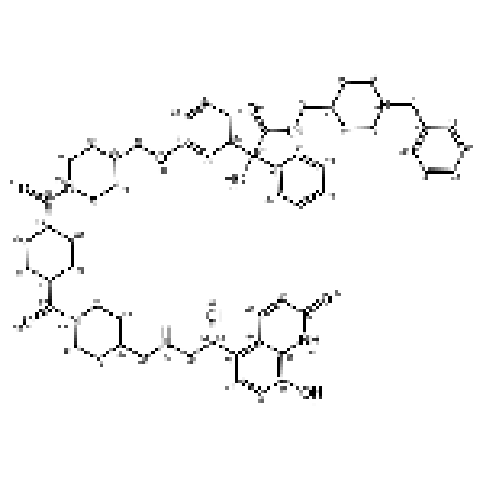 O=C(OCC1CCN(Cc2ccccc2)CC1)C(O)(c1ccccc1)c1cccc(OCC2CCN(C(=O)[C@H]3CC[C@H](C(=O)N4CCC(CNC[C@H](O)c5ccc(O)c6[nH]c(=O)ccc56)CC4)CC3)CC2)c1